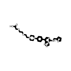 O=C(O)COCCOCCN1CCN(c2ccc(-c3cnc(NCc4ccco4)n4cnnc34)cc2)CC1